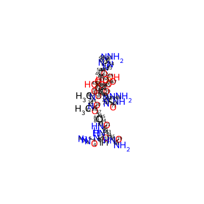 CC(C)[C@H](NC(=O)CN=[N+]=[N-])C(=O)N[C@@H](CCCNC(N)=O)C(=O)Nc1ccc(COC(=O)N(C)CCN(C)C(=O)O[C@@H]2[C@H](OP(=O)(O)OC[C@@H]3CC[C@H](n4cnc5c(N)ncnc54)O3)[C@@H](COP(=O)(O)O)O[C@H]2n2cnc3c(=O)[nH]c(N)nc32)cc1